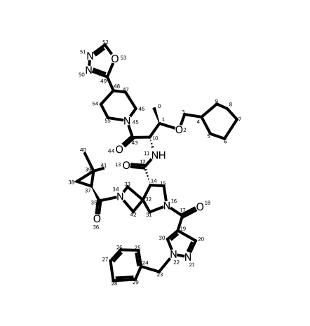 C[C@@H](OCC1CCCCC1)[C@H](NC(=O)[C@@H]1CN(C(=O)c2cnn(Cc3ccccc3)c2)CC12CN(C(=O)[C@H]1CC1(C)C)C2)C(=O)N1CCC(c2nnco2)CC1